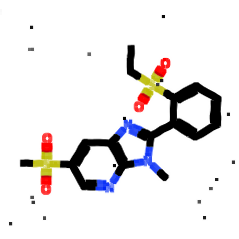 CCS(=O)(=O)c1ccccc1-c1nc2cc(S(C)(=O)=O)cnc2n1C